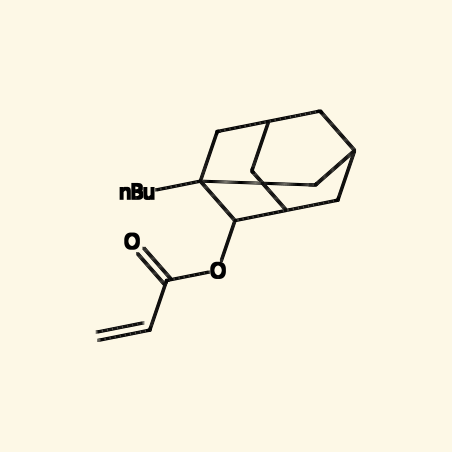 C=CC(=O)OC1C2CC3CC(C2)CC1(CCCC)C3